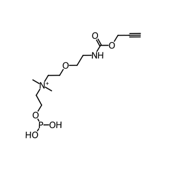 C#CCOC(=O)NCCOCC[N+](C)(C)CCOP(O)O